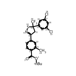 CCCCOC(=O)c1ccc(C2=NSC(c3cc(Cl)cc(Cl)c3)(C(F)(F)F)C2)cc1C